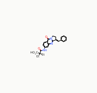 CCC(CC)(C(=O)O)C(=O)Nc1ccc2c(=O)n3c(nc2c1)/C(=C/c1ccccc1)CC3